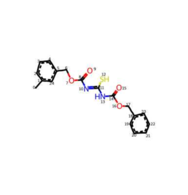 Cc1cccc(COC(=O)N=C(S)NC(=O)OCc2ccccc2)c1